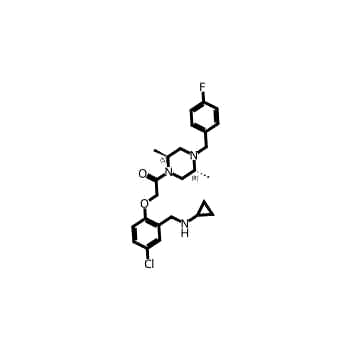 C[C@@H]1CN(C(=O)COc2ccc(Cl)cc2CNC2CC2)[C@@H](C)CN1Cc1ccc(F)cc1